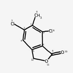 Cc1c(Cl)cc2c(c1Cl)C(=O)OC2